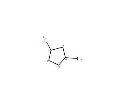 FC1CCC(I)C1